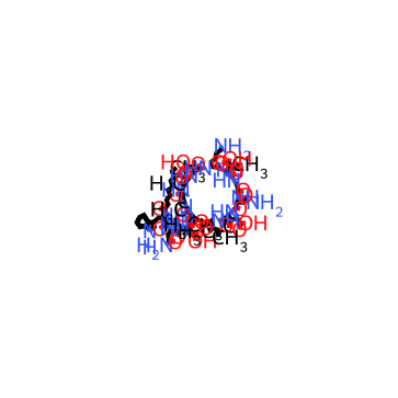 CCCCCCCCCC(=O)NC(Cc1c[nH]c2ccccc12)C(=O)NC(CC(N)=O)C(=O)NC(CC(=O)O)C(=O)NC1C(=O)N(C)CC(=O)NC(C)C(=O)NC(CC(=O)O)C(=O)NC(CCCCN)C(=O)NC(C(OC)C(=O)O)C(=O)NCC(=O)NC(CC(N)=O)C(=O)NC(C(C)CC(=O)O)C(=O)NC(C(C)CC)C(=O)OC1C